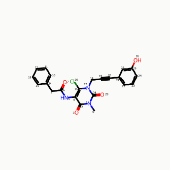 Cn1c(=O)c(NC(=O)Cc2ccccc2)c(Cl)n(CC#Cc2cccc(O)c2)c1=O